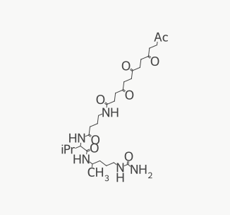 CC(=O)CCC(=O)CCC(=O)CCC(=O)CCC(=O)NCCCC(=O)NC(C(=O)NC(C)CCCNC(N)=O)C(C)C